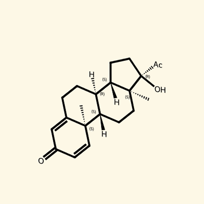 CC(=O)[C@@]1(O)CC[C@H]2[C@@H]3CCC4=CC(=O)C=C[C@]4(C)[C@H]3CC[C@@]21C